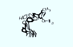 CCc1cc2c(ccc(=O)n2Cc2ccc3oc(-c4ccccc4-c4nnn[nH]4)nc3c2)c(CC)n1.Cl